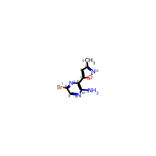 Cc1cc(-c2nc(Br)cnc2N)on1